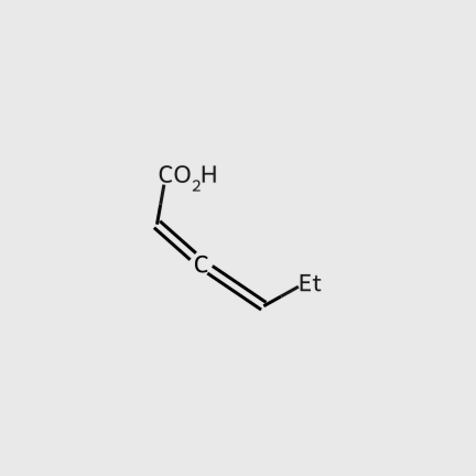 CCC=C=CC(=O)O